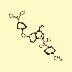 Cc1ccc(S(=O)(=O)n2cc(C(C)C)c3cc(Oc4ccc(N(Cl)Cl)cc4)ccc32)cc1